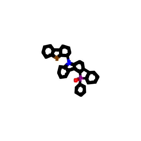 O=P1(c2ccccc2)c2ccccc2-c2ccc3c(c21)c1ccccc1n3-c1cccc2c1sc1ccccc12